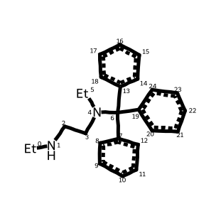 CCNCCN(CC)C(c1ccccc1)(c1ccccc1)c1ccccc1